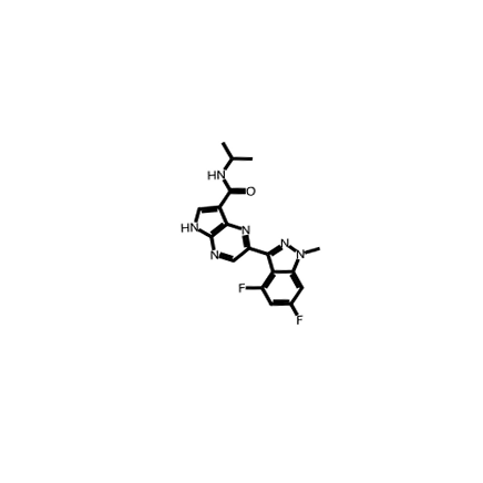 CC(C)NC(=O)c1c[nH]c2ncc(-c3nn(C)c4cc(F)cc(F)c34)nc12